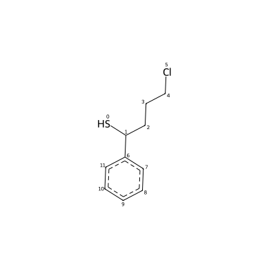 SC(CCCCl)c1ccccc1